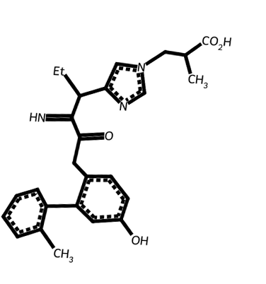 CCC(C(=N)C(=O)Cc1ccc(O)cc1-c1ccccc1C)c1cn(CC(C)C(=O)O)cn1